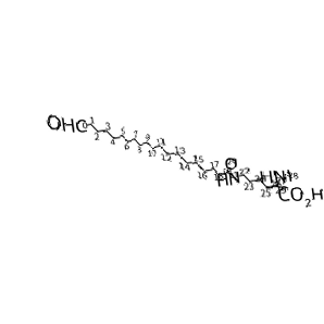 O=CCCCCCCCCCCCCCCCCCCC(=O)NCCCC[C@H](NI)C(=O)O